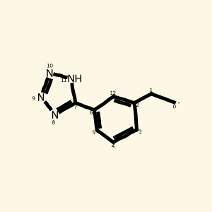 [CH2]Cc1cccc(-c2nnn[nH]2)c1